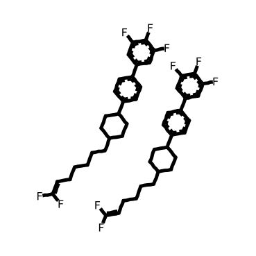 FC(F)=CCCCCC1CCC(c2ccc(-c3cc(F)c(F)c(F)c3)cc2)CC1.FC(F)=CCCCCCC1CCC(c2ccc(-c3cc(F)c(F)c(F)c3)cc2)CC1